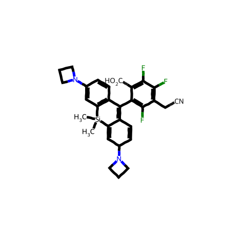 C[Si]1(C)C2=CC(N3CCC3)C=CC2=C(c2c(F)c(CC#N)c(F)c(F)c2C(=O)O)c2ccc(N3CCC3)cc21